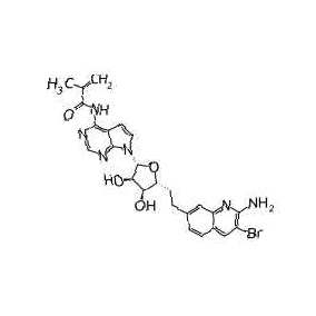 C=C(C)C(=O)Nc1ncnc2c1ccn2[C@@H]1O[C@H](CCc2ccc3cc(Br)c(N)nc3c2)[C@@H](O)[C@H]1O